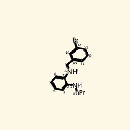 CCCNc1ccccc1NCc1cccc(Br)c1